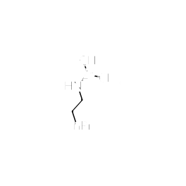 CCCCC[NH][Zr]([CH3])[CH3]